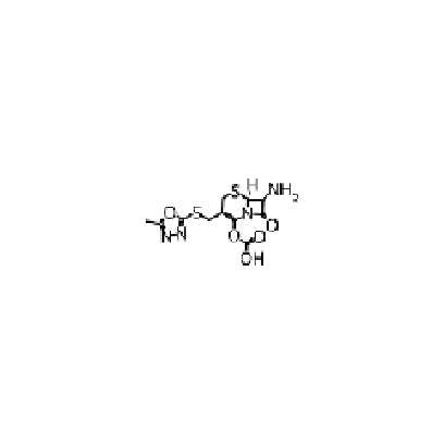 Cc1nnc(SCC2=C(OC(=O)O)N3C(=O)C(N)[C@@H]3SC2)o1